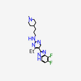 CCc1nc(NCCCC2CCN(C)CC2)ncc1-c1nc2c(F)c(F)ccc2[nH]1